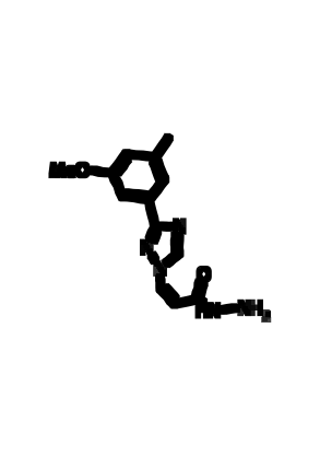 COc1cc(C)cc(-c2ncn(/C=C\C(=O)NN)n2)c1